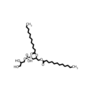 CCCCCCCCCCCC(=O)OCC(COP(=O)(O)OCC(O)CO)OC(=O)CCCCCCCCCCC